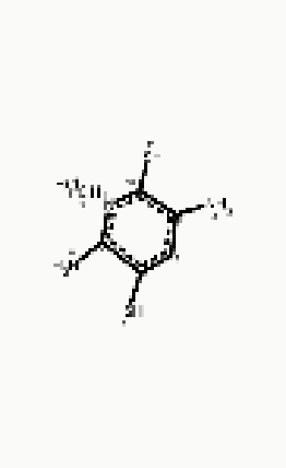 Cl.Cl.Nc1cc(S)c(N)nc1S